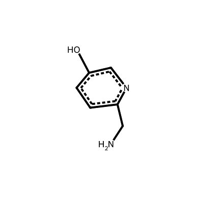 NCc1ccc(O)cn1